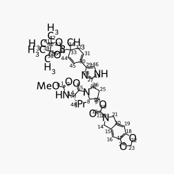 COC(=O)N[C@H](C(=O)N1C[C@H](OC(=O)N2Cc3cc4c(cc3C2)OCO4)C[C@H]1c1nc(C2=CCC(C)(B3OC(C)(C)C(C)(C)O3)C=C2)c[nH]1)C(C)C